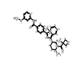 COc1ccnc(NC(=O)c2ccc(C3=NC([C@@H]4CC[C@H](C)N(C(=O)C5(C)COC5)C4)=C4C=NC=C[N+]34N)cc2)c1